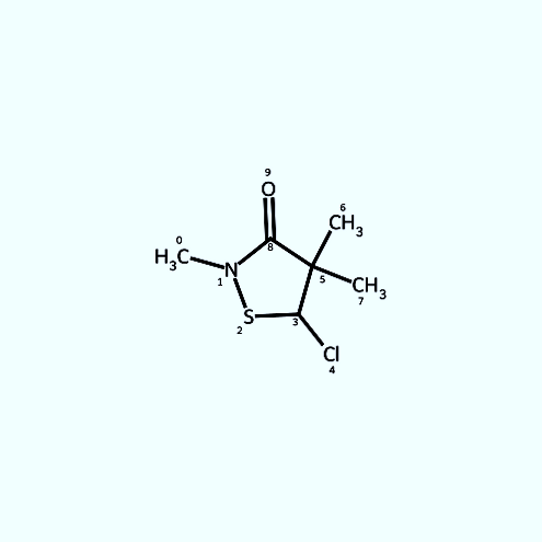 CN1SC(Cl)C(C)(C)C1=O